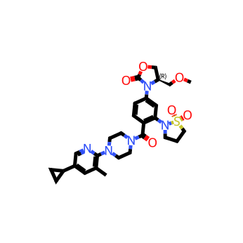 COC[C@@H]1COC(=O)N1c1ccc(C(=O)N2CCN(c3ncc(C4CC4)cc3C)CC2)c(N2CCCS2(=O)=O)c1